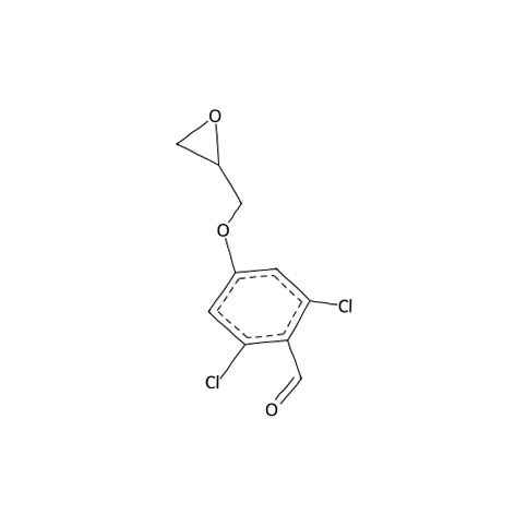 O=Cc1c(Cl)cc(OCC2CO2)cc1Cl